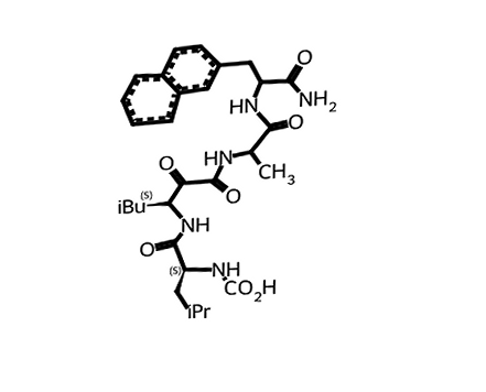 CC[C@H](C)C(NC(=O)[C@H](CC(C)C)NC(=O)O)C(=O)C(=O)NC(C)C(=O)NC(Cc1ccc2ccccc2c1)C(N)=O